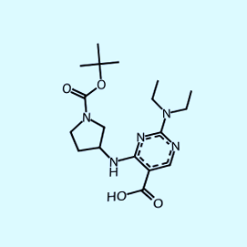 CCN(CC)c1ncc(C(=O)O)c(NC2CCN(C(=O)OC(C)(C)C)C2)n1